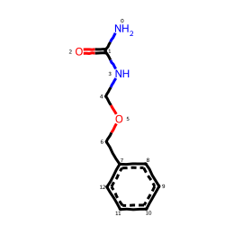 NC(=O)NCOCc1ccccc1